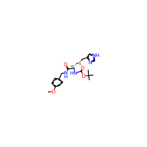 COc1ccc(CNC(=O)[C@H](CSCc2c[nH]cn2)NC(=O)OC(C)(C)C)cc1